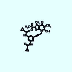 CN1C(=O)c2c(nc(S(C)(=O)=O)n2C)N(CC#Cc2cc(NC(=O)C3CC3)cc(NC(=O)C3CC3)n2)C1O